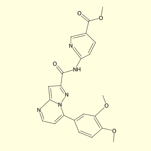 COC(=O)c1ccc(NC(=O)c2cc3nccc(-c4ccc(OC)c(OC)c4)n3n2)nc1